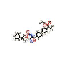 Cc1noc(-c2ccc(-c3ccc(C4(C(=O)OC(C)C)CC4)cc3)cc2)c1NC(=O)OCCc1ccccc1